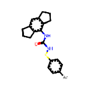 CC(=O)c1ccc(SNC(=O)Nc2c3c(cc4c2CCC4)CCC3)cc1